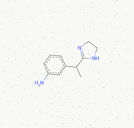 CC(C1=NCCN1)c1cccc(N)c1